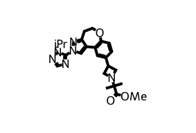 COC(=O)C(C)(C)N1CC(c2ccc3c(c2)-c2cn(-c4ncnn4C(C)C)nc2CCO3)C1